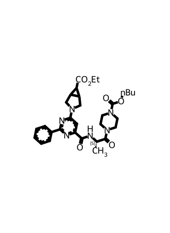 CCCCOC(=O)N1CCN(C(=O)[C@H](C)NC(=O)c2cc(N3CC4C(C3)C4C(=O)OCC)nc(-c3ccccc3)n2)CC1